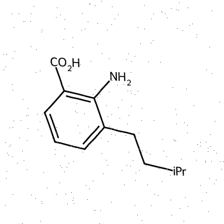 CC(C)CCc1cccc(C(=O)O)c1N